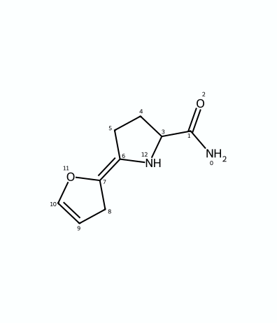 NC(=O)C1CCC(=C2CC=CO2)N1